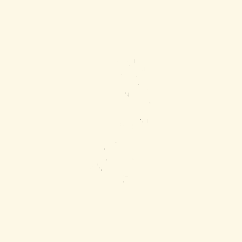 C[C@@H](CC(=O)O)c1ccc(NC(=O)Cc2ccc([N+](=O)[O-])c(O)c2)cn1